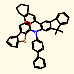 CC1(C)c2ccccc2-c2cc(-c3ccc4c(c3)CCCC4)c(N(c3ccc(-c4ccccc4)cc3)c3cccc4c3sc3ccccc34)cc21